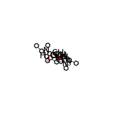 C[Si](C)(C)C1([Si](C)(C)C)c2c(ccc3cc(N(c4ccccc4)c4cc(-c5ccccc5)ccc4-c4ccccc4)ccc23)-c2c1c1ccc(N(c3ccccc3)c3cc(-c4ccccc4)ccc3-c3ccccc3)cc1c1ccccc21